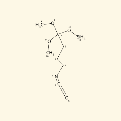 COC(CCCN=C=O)(OC)O[SiH3]